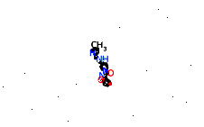 Cc1ccc(CNCC2(F)CCN(C(=O)c3noc4ccccc34)CC2)nc1